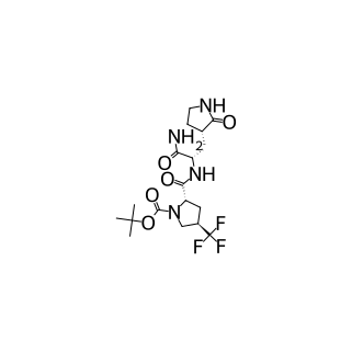 CC(C)(C)OC(=O)N1C[C@H](C(F)(F)F)C[C@H]1C(=O)N[C@@H](C[C@@H]1CCNC1=O)C(N)=O